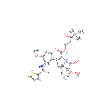 COc1ccc(C2=C(C(=O)OCOC(=O)C(C)(C)C)N3C(=O)[C@H]([C@@H](C)O)[C@H]3C2)cc1NC(=O)c1cccs1